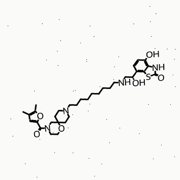 Cc1cc(C(=O)N2CCOC3(CCN(CCCCCCCCCNC[C@H](O)c4ccc(O)c5[nH]c(=O)sc45)CC3)C2)oc1C